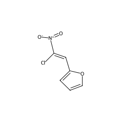 O=[N+]([O-])/C(Cl)=C/c1ccco1